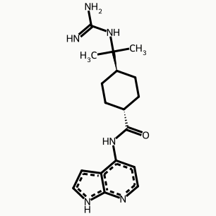 CC(C)(NC(=N)N)[C@H]1CC[C@H](C(=O)Nc2ccnc3[nH]ccc23)CC1